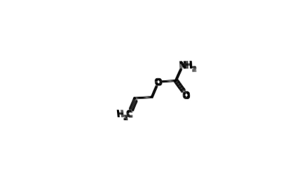 C=CCOC(N)=O